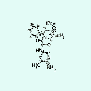 Cc1cc(NC(=O)C(=O)N2C[C@@H](C)C(OC(C)C)C[C@@H]2c2ccccc2)cnc1N